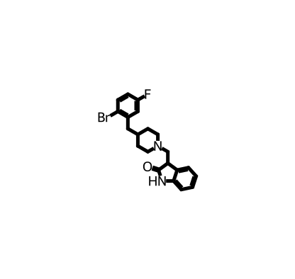 O=C1Nc2ccccc2C1CN1CCC(Cc2cc(F)ccc2Br)CC1